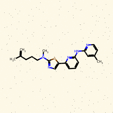 C=C(C)CCCN(C)c1ncc(-c2cccc(Nc3cc(C)ccn3)n2)s1